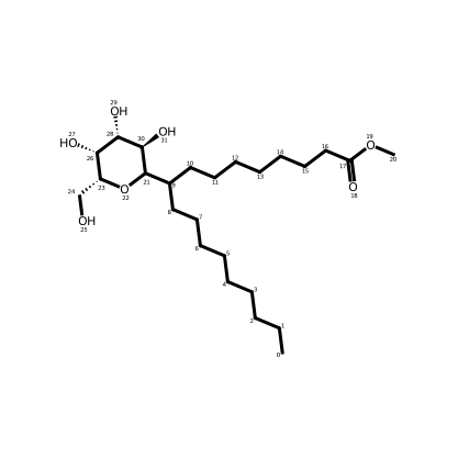 CCCCCCCCCC(CCCCCCCC(=O)OC)C1O[C@H](CO)[C@H](O)[C@H](O)[C@H]1O